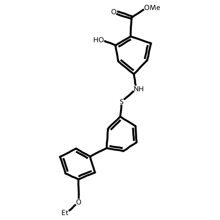 CCOc1cccc(-c2cccc(SNc3ccc(C(=O)OC)c(O)c3)c2)c1